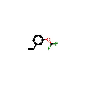 C=[C]c1cccc(OC(F)F)c1